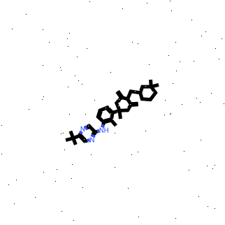 C=C1CC(C)(c2cccc(Nc3cnc(C(C)(C)C)cn3)c2C)CC(=C)C1CC1CCCC(C)(C)C1